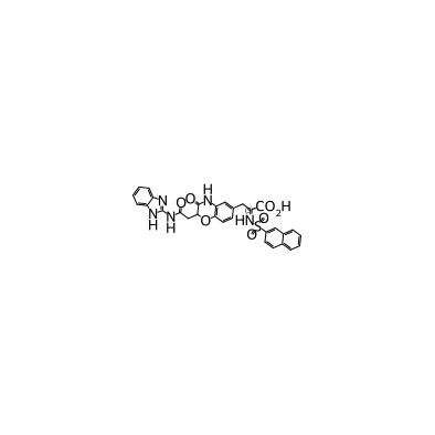 O=C(CC1Oc2ccc(C[C@H](NS(=O)(=O)c3ccc4ccccc4c3)C(=O)O)cc2NC1=O)Nc1nc2ccccc2[nH]1